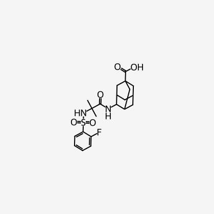 CC(C)(NS(=O)(=O)c1ccccc1F)C(=O)NC1C2CC3CC1CC(C(=O)O)(C3)C2